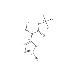 CON(C(=O)OC(C)(C)C)c1ncc(Br)s1